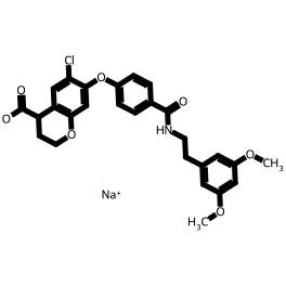 COc1cc(CCNC(=O)c2ccc(Oc3cc4c(cc3Cl)C(C(=O)[O-])CCO4)cc2)cc(OC)c1.[Na+]